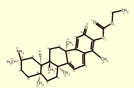 CCOC(=O)OC1=C(C)C2=CC=C3[C@@](C)(CC[C@@]4(C)[C@@H]5C[C@](C)(N)CC[C@]5(C)CC[C@]34C)C2=CC1=O